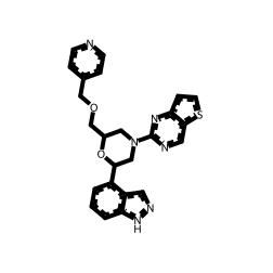 c1cc(C2CN(c3ncc4sccc4n3)CC(COCc3ccncc3)O2)c2cn[nH]c2c1